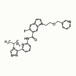 CC(C)n1cnnc1-c1cccc(NC(=O)c2cc3c(ccn3CCOCc3cccnc3)cc2F)n1